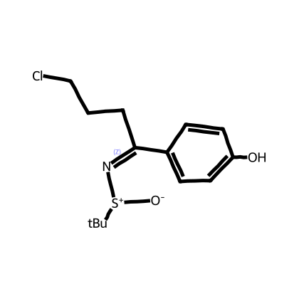 CC(C)(C)[S+]([O-])/N=C(/CCCCl)c1ccc(O)cc1